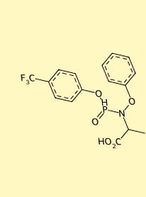 CC(C(=O)O)N(Oc1ccccc1)[PH](=O)Oc1ccc(C(F)(F)F)cc1